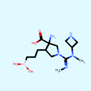 C/N=C(\N1CC(CCCB(O)O)C(N)(C(=O)O)C1)N(C)C1CNC1